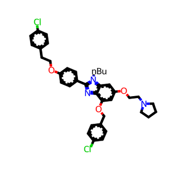 CCCCn1c(-c2ccc(OCCc3ccc(Cl)cc3)cc2)nc2c(OCc3ccc(Cl)cc3)cc(OCCN3CCCC3)cc21